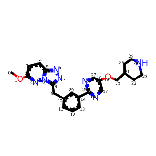 COc1ccc2nnc(Cc3cccc(-c4ncc(OCC5CCNCC5)cn4)c3)n2n1